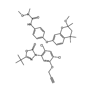 C#CCOc1cc(-n2nc(C(C)(C)C)oc2=O)c(Cl)cc1Cl.CON(C)C(=O)Nc1ccc(Oc2ccc3c(c2)OC(C)(OC)CC3(C)C)cc1